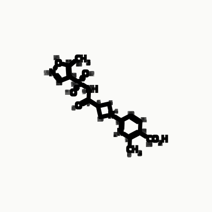 Cc1nc(N2CC(C(=O)NS(=O)(=O)c3cnoc3C)C2)ccc1C(=O)O